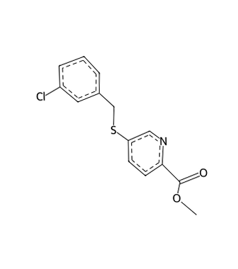 COC(=O)c1ccc(SCc2cccc(Cl)c2)cn1